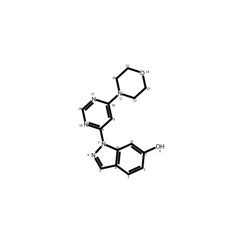 Oc1ccc2cnn(-c3cc(N4CCOCC4)ncn3)c2c1